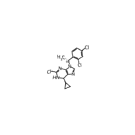 C[C@H](c1ccc(Cl)cc1Cl)n1cnc2c1N=C(Cl)NC2C1CC1